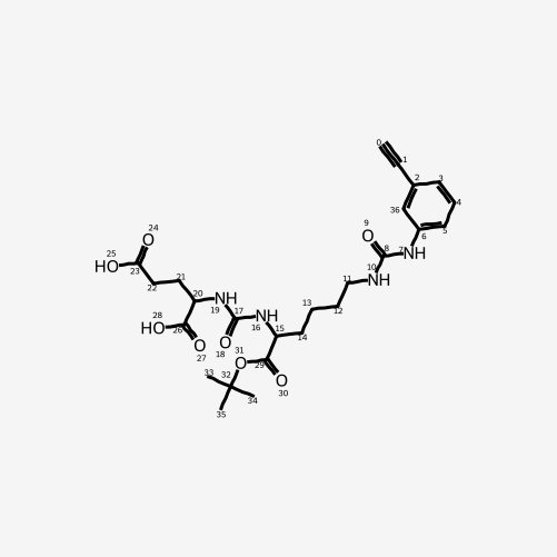 C#Cc1cccc(NC(=O)NCCCCC(NC(=O)NC(CCC(=O)O)C(=O)O)C(=O)OC(C)(C)C)c1